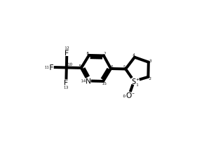 [O-][S+]1CCCC1c1ccc(C(F)(F)F)nc1